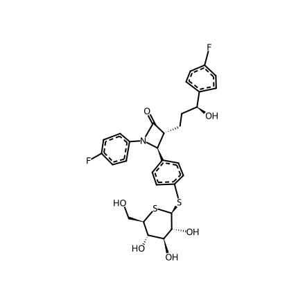 O=C1[C@H](CC[C@H](O)c2ccc(F)cc2)[C@@H](c2ccc(S[C@@H]3S[C@H](CO)[C@@H](O)[C@H](O)[C@H]3O)cc2)N1c1ccc(F)cc1